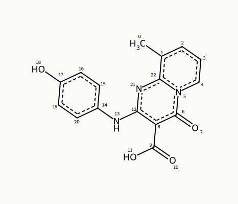 Cc1cccn2c(=O)c(C(=O)O)c(Nc3ccc(O)cc3)nc12